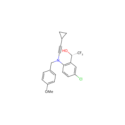 COc1ccc(CN(C#CC2CC2)c2ccc(Cl)cc2[C@H](O)C(F)(F)F)cc1